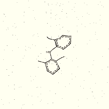 Cc1cnccc1Nc1c(C)cccc1C